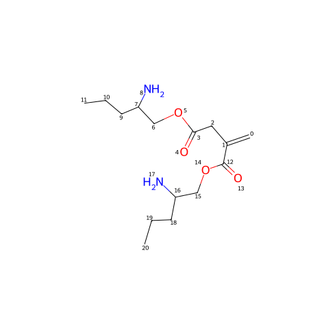 C=C(CC(=O)OCC(N)CCC)C(=O)OCC(N)CCC